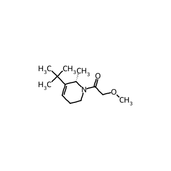 COCC(=O)N1CCC=C(C(C)(C)C)[C@@H]1C